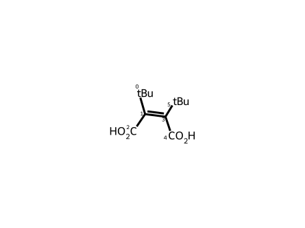 CC(C)(C)C(C(=O)O)=C(C(=O)O)C(C)(C)C